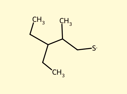 CCC(CC)C(C)C[S]